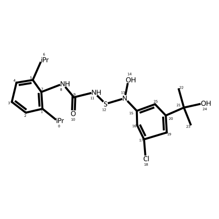 CC(C)c1cccc(C(C)C)c1NC(=O)NSN(O)c1cc(Cl)cc(C(C)(C)O)c1